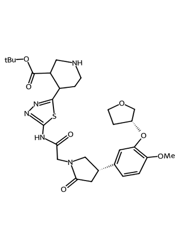 COc1ccc([C@@H]2CC(=O)N(CC(=O)Nc3nnc(C4CCNCC4C(=O)OC(C)(C)C)s3)C2)cc1O[C@@H]1CCOC1